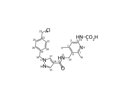 Cc1cc(NC(=O)O)nc(C)c1CNC(=O)c1cnn(Cc2ccc(CCl)cc2)c1